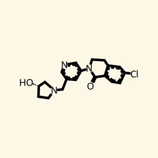 O=C1c2ccc(Cl)cc2CCN1c1cncc(CN2CC[C@H](O)C2)c1